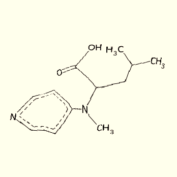 CC(C)CC(C(=O)O)N(C)c1ccncc1